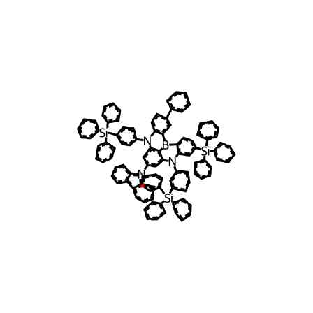 c1ccc(-c2ccc3c(c2)B2c4ccc([Si](c5ccccc5)(c5ccccc5)c5ccccc5)cc4N(c4cccc([Si](c5ccccc5)(c5ccccc5)c5ccccc5)c4)c4cc(-n5c6ccccc6c6ccccc65)cc(c42)N3c2ccc([Si](c3ccccc3)(c3ccccc3)c3ccccc3)cc2)cc1